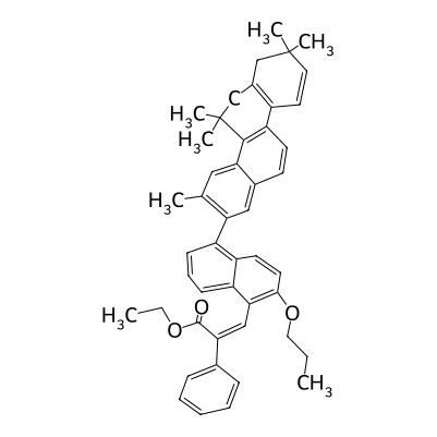 CCCOc1ccc2c(-c3cc4ccc5c(c4cc3C)C(C)(C)CC3=C5C=CC(C)(C)C3)cccc2c1C=C(C(=O)OCC)c1ccccc1